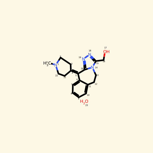 CN1CCC(=C2c3ccccc3CCn3c(CO)nnc32)CC1.O